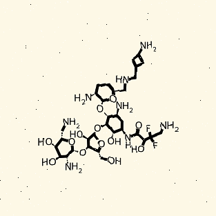 NC[C@@H]1O[C@H](O[C@H]2[C@@H](O)[C@H](O[C@@H]3[C@@H](O)[C@H](NC(=O)C(O)C(F)(F)CN)C[C@H](N)[C@H]3O[C@H]3O[C@H](CNCC4CC(N)C4)CC[C@H]3N)O[C@@H]2CO)[C@H](N)[C@@H](O)[C@@H]1O